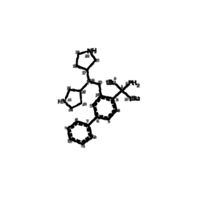 CC(C)(C)C(P)(c1ccc(-c2ccccc2)cc1CP(C1CCNC1)C1CCNC1)C(C)(C)C